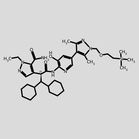 CCn1ncc([C@@H](C(=O)Nc2ncc(-c3c(C)nn(COCC[Si](C)(C)C)c3C)cc2O)C(C2CCCCC2)C2CCCCC2)c1C(N)=O